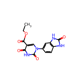 CCOC(=O)c1cn(-c2ccc3[nH]c(=O)[nH]c3c2)c(=O)[nH]c1=O